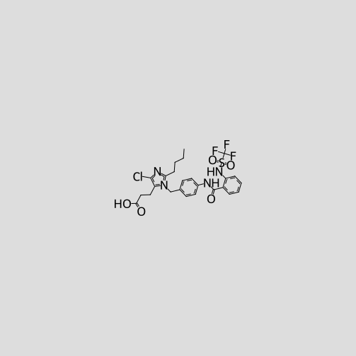 CCCCc1nc(Cl)c(CCC(=O)O)n1Cc1ccc(NC(=O)c2ccccc2NS(=O)(=O)C(F)(F)F)cc1